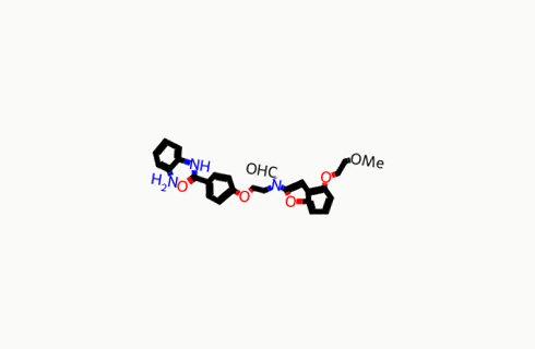 COCCOc1cccc2oc(N(C=O)CCOc3ccc(C(=O)Nc4ccccc4N)cc3)cc12